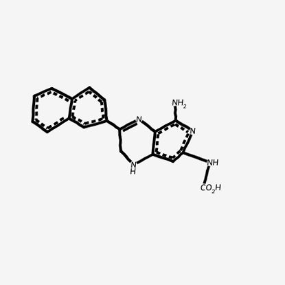 Nc1nc(NC(=O)O)cc2c1N=C(c1ccc3ccccc3c1)CN2